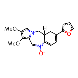 COc1cn2c(c1OC)C=[N+]([O-])C1=CC=C(c3ccco3)C[C@H]1C2